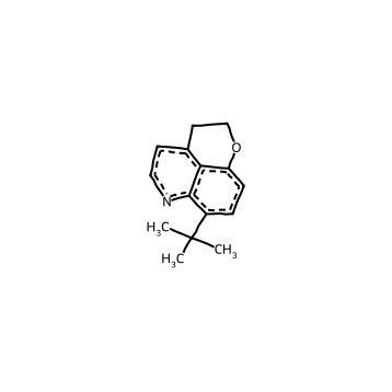 CC(C)(C)c1ccc2c3c(ccnc13)CCO2